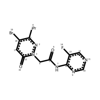 CC(C)c1nn(CC(=O)Nc2ncncc2F)c(=O)cc1Br